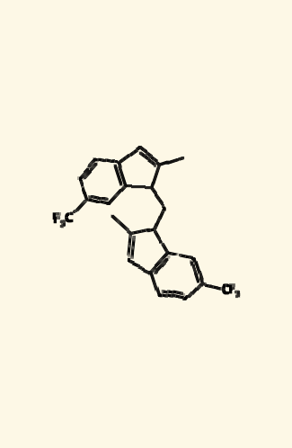 CC1=Cc2ccc(C(F)(F)F)cc2C1CC1C(C)=Cc2ccc(C(F)(F)F)cc21